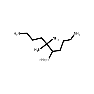 CCCCCCCC(CCCN)C(N)(N)CCCN